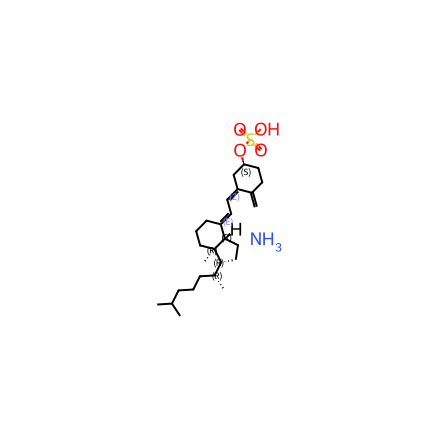 C=C1CC[C@H](OS(=O)(=O)O)C/C1=C/C=C1\CCC[C@]2(C)[C@@H]([C@H](C)CCCC(C)C)CC[C@@H]12.N